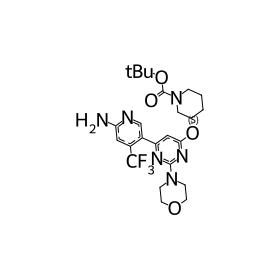 CC(C)(C)OC(=O)N1CCC[C@H](Oc2cc(-c3cnc(N)cc3C(F)(F)F)nc(N3CCOCC3)n2)C1